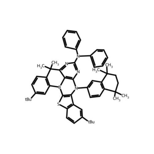 CC(C)(C)c1ccc2c(c1)B1c3sc4ccc(C(C)(C)C)cc4c3N(c3ccc4c(c3)C(C)(C)CCC4(C)C)c3nc(N(c4ccccc4)c4ccccc4)nc(c31)C2(C)C